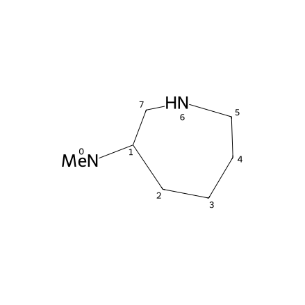 [CH2]NC1CCCCNC1